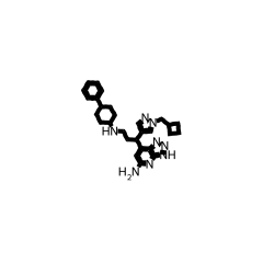 Nc1cc(C(CCNC2CCC(c3ccccc3)CC2)c2cnn(CC3CCC3)c2)c2nn[nH]c2n1